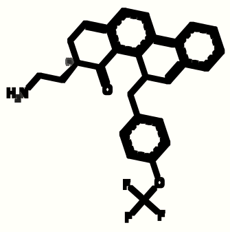 NCC[C@H]1CC=c2ccc3c(c2C1=O)C(Cc1ccc(OC(F)(F)F)cc1)C=c1ccccc1=3